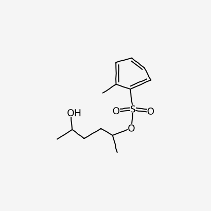 Cc1ccccc1S(=O)(=O)OC(C)CCC(C)O